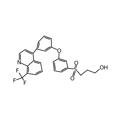 O=S(=O)(CCCO)c1cccc(Oc2cccc(-c3ccnc4c(C(F)(F)F)cccc34)c2)c1